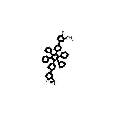 Cc1cc(-c2ccc(-c3c(-c4ccccc4)c(-c4ccccc4)c(-c4ccc(-c5ccc(F)c(C(F)(F)F)c5)cc4)c(-c4ccccc4)c3-c3ccccc3)cc2)ccc1F